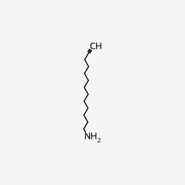 C#CCCCCCCCCCCCN